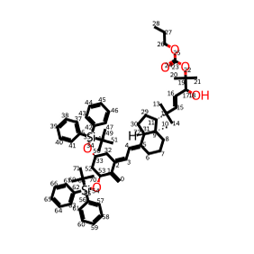 C=C1/C(=C/C=C2\CCC[C@]3(C)[C@@H](C(C)(C)/C=C/C(O)C(C)(C)OC(=O)OCCC)CC[C@@H]23)C[C@@H](O[Si](c2ccccc2)(c2ccccc2)C(C)(C)C)C[C@@H]1O[Si](c1ccccc1)(c1ccccc1)C(C)(C)C